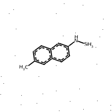 Cc1ccc2cc(N[SiH3])ccc2c1